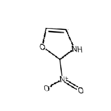 O=[N+]([O-])C1N[C]=CO1